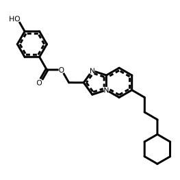 O=C(OCc1cn2cc(CCCC3CCCCC3)ccc2n1)c1ccc(O)cc1